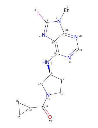 CCn1c(I)nc2c(N[C@H]3CCN(C(=O)C4CC4)C3)ncnc21